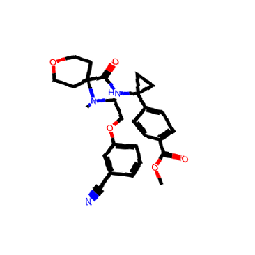 COC(=O)c1ccc(C2(NC(=O)C3(N(C)CCOc4cccc(C#N)c4)CCOCC3)CC2)cc1